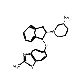 Cc1nc2cc(O[C@@H]3c4ccccc4C[C@H]3N3CCC[C@@H](N)C3)ccc2s1